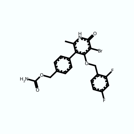 Cc1[nH]c(=O)c(Br)c(OCc2ccc(F)cc2F)c1-c1ccc(COC(N)=O)cc1